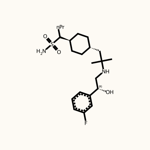 CCCC([C@H]1CC[C@H](CC(C)(C)NC[C@H](O)c2cccc(F)c2)CC1)S(N)(=O)=O